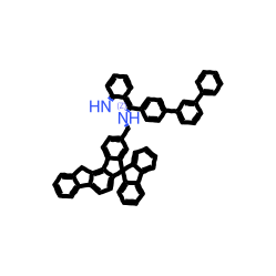 N=C1C=CC=C/C1=C(/NCc1ccc2c(c1)C1(c3ccccc3-c3ccccc31)c1ccc3c(c1-2)Cc1ccccc1-3)c1ccc(-c2cccc(-c3ccccc3)c2)cc1